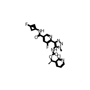 C[C@@H](OC(=O)Nc1c(-c2ncc(C(=O)NC34CC(F)(C3)C4)cc2F)nnn1C)c1cccnc1Cl